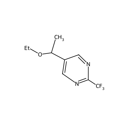 CCOC(C)c1cnc(C(F)(F)F)nc1